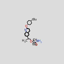 C[C](CO[Si@@](C)(C(N)=O)C(C)(C)C)c1ccc2nc(O[C@H]3CC[C@H](C(C)(C)C)CC3)ccc2c1